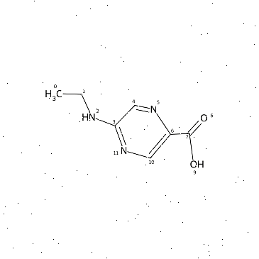 CCNc1cnc(C(=O)O)cn1